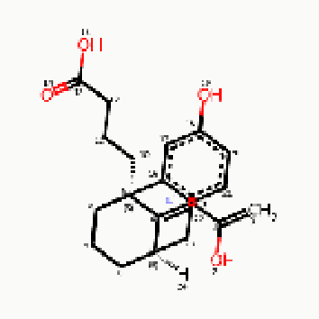 C=C(O)/C=C1\[C@@H]2CCC[C@@]1(CCCC(=O)O)c1cc(O)ccc1C2